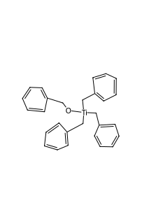 c1ccc(C[O][Ti]([CH2]c2ccccc2)([CH2]c2ccccc2)[CH2]c2ccccc2)cc1